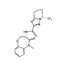 CN1C(=O)[C@@H](NC(=O)c2nc3n(n2)[C@@H](C(F)(F)F)CCC3)COc2ccccc21